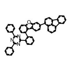 c1ccc(-c2nc(-c3ccccc3)nc(-c3ccccc3-c3cccc4oc5cc(-c6ccc7c8c(cccc68)-c6ccccc6-7)ccc5c34)n2)cc1